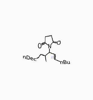 CCCC/C=C/C(C(C)CCCCCCCCCCC)N1C(=O)CCC1=O